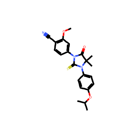 COc1cc(N2C(=O)C(C)(C)N(c3ccc(OC(C)C)cc3)C2=S)ccc1C#N